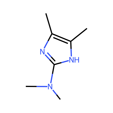 Cc1nc(N(C)C)[nH]c1C